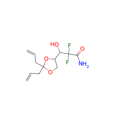 C=CCC1(CC=C)OCC(C(O)C(F)(F)C(N)=O)O1